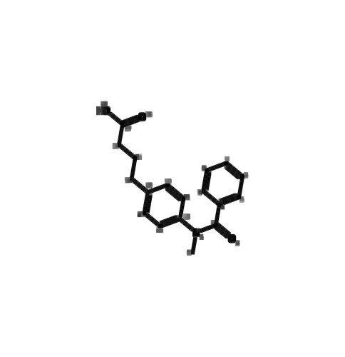 CN(C(=O)c1ccccc1)c1ccc(CCCC(=O)O)cc1